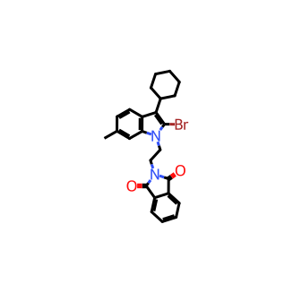 Cc1ccc2c(C3CCCCC3)c(Br)n(CCN3C(=O)c4ccccc4C3=O)c2c1